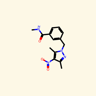 CNC(=O)c1cccc(Cn2nc(C)c([N+](=O)[O-])c2C)c1